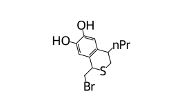 CCCC1CSC(CBr)c2cc(O)c(O)cc21